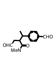 CNC(=O)C(CC=O)C(C)c1ccc(C=O)cc1